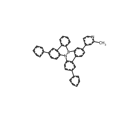 Cc1cc(-c2ccc3c(c2)B2c4ccccc4-c4cc(-c5ccccc5)ccc4N2c2ccc(-c4ccccc4)cc2-3)ccn1